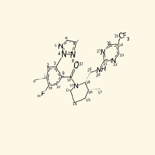 Cc1cc(-n2nccn2)c(C(=O)N2CCC[C@@H](C)[C@H]2CNc2ncc(C(F)(F)F)cn2)cc1F